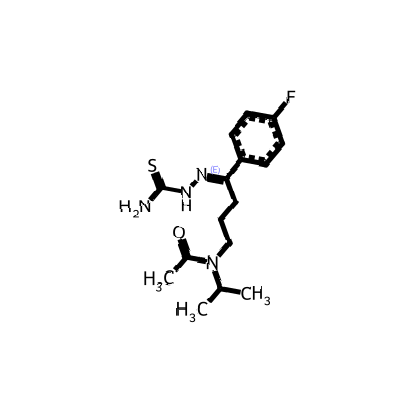 CC(=O)N(CCC/C(=N\NC(N)=S)c1ccc(F)cc1)C(C)C